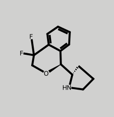 FC1(F)CO[C@H]([C@@H]2CCCN2)c2ccccc21